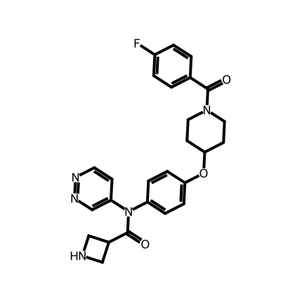 O=C(c1ccc(F)cc1)N1CCC(Oc2ccc(N(C(=O)C3CNC3)c3ccnnc3)cc2)CC1